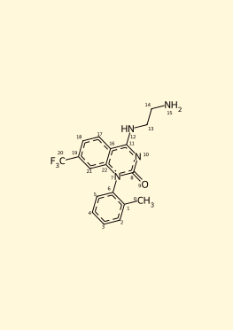 Cc1ccccc1-n1c(=O)nc(NCCN)c2ccc(C(F)(F)F)cc21